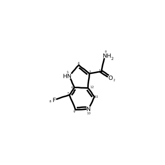 NC(=O)c1c[nH]c2c(F)cncc12